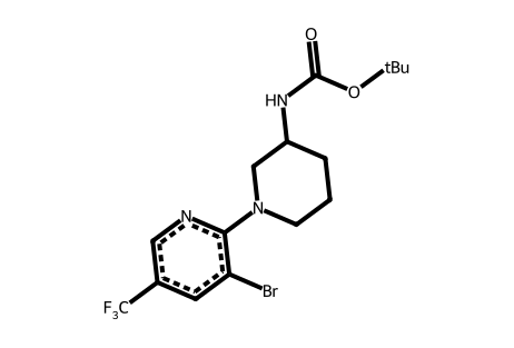 CC(C)(C)OC(=O)NC1CCCN(c2ncc(C(F)(F)F)cc2Br)C1